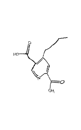 CCCCc1cc(C(=O)O)ncc1C(=O)O